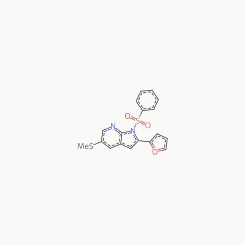 CSc1cnc2c(c1)cc(-c1ccco1)n2S(=O)(=O)c1ccccc1